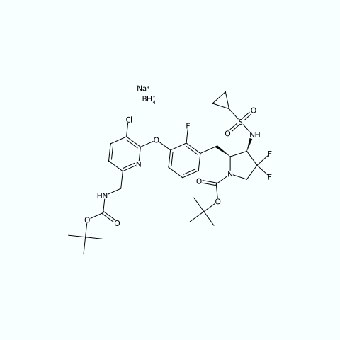 CC(C)(C)OC(=O)NCc1ccc(Cl)c(Oc2cccc(C[C@H]3[C@@H](NS(=O)(=O)C4CC4)C(F)(F)CN3C(=O)OC(C)(C)C)c2F)n1.[BH4-].[Na+]